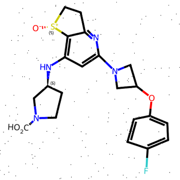 O=C(O)N1CC[C@H](Nc2cc(N3CC(Oc4ccc(F)cc4)C3)nc3c2[S@+]([O-])CC3)C1